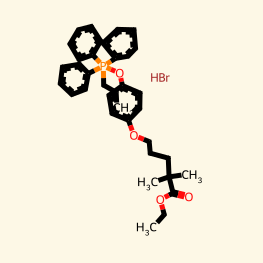 Br.CCCP(Oc1ccc(OCCCC(C)(C)C(=O)OCC)cc1)(c1ccccc1)(c1ccccc1)c1ccccc1